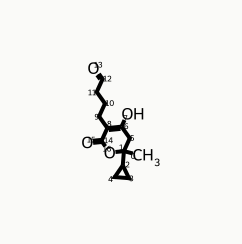 CC1(C2CC2)CC(O)=C(CCCC=O)C(=O)O1